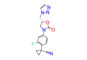 N#CC1(c2ccc(N3C[C@H](Cn4ccnn4)OC3=O)cc2F)CC1